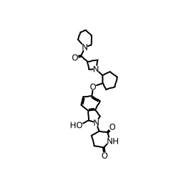 O=C1CCC(N2Cc3cc(OC4CCCCC4N4CC(C(=O)N5CCCCC5)C4)ccc3C2O)C(=O)N1